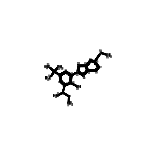 CCC(C)c1cc(C(C)(C)C)cc(-n2nc3ccc(SC)cc3n2)c1O